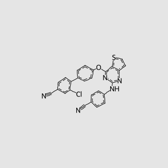 N#Cc1ccc(Nc2nc(Oc3ccc(-c4ccc(C#N)cc4Cl)cc3)c3sccc3n2)cc1